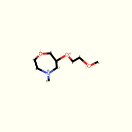 COCCOC1COCCN(C)C1